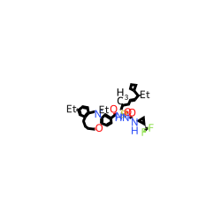 CCc1ccc2c(c1)CCCCOc1ccc(C(=O)N=S(=O)(C[C@@H](C)C/C=C/[C@H](CC)C3CCC3)NC(=O)N[C@H]3C[C@@H]3C(F)F)cc1N(CC)C2